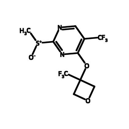 C[S+]([O-])c1ncc(C(F)(F)F)c(OC2(C(F)(F)F)COC2)n1